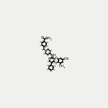 Cc1cc(C#N)cc(C)c1Oc1nc(NC2CCN(Cc3ccc(C(N)=O)cc3)CC2)ncc1-c1ccccc1